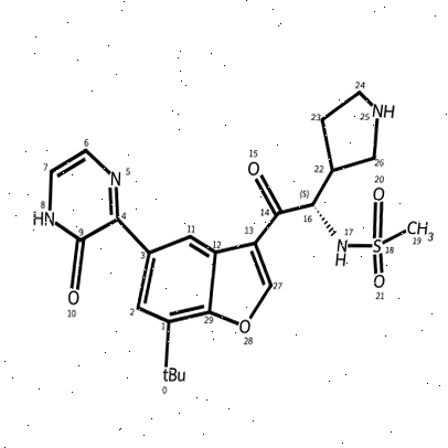 CC(C)(C)c1cc(-c2ncc[nH]c2=O)cc2c(C(=O)[C@@H](NS(C)(=O)=O)C3CCNC3)coc12